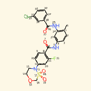 Cc1ccc(NC(=O)c2ccc(N3CCOCS3(=O)=O)cc2F)cc1NC(=O)c1cccc(Cl)c1